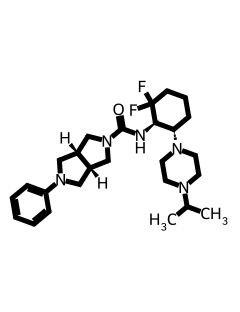 CC(C)N1CCN([C@H]2CCCC(F)(F)[C@@H]2NC(=O)N2C[C@@H]3CN(c4ccccc4)C[C@@H]3C2)CC1